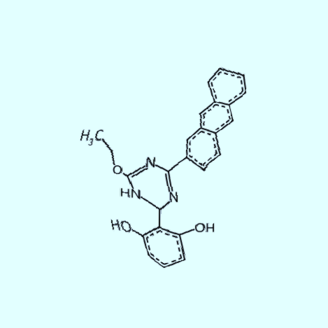 CCOC1=NC(c2ccc3cc4ccccc4cc3c2)=NC(c2c(O)cccc2O)N1